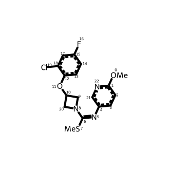 COc1ccc(N=C(SC)N2CC(Oc3ccc(F)cc3Cl)C2)cn1